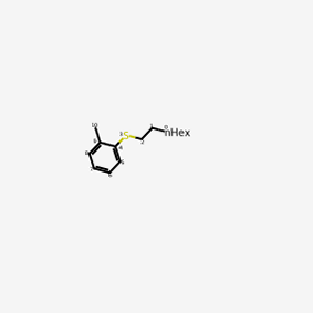 CCCCCCCCSc1ccccc1C